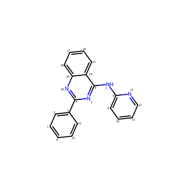 c1ccc(-c2nc(Nc3ccccn3)c3ccccc3n2)cc1